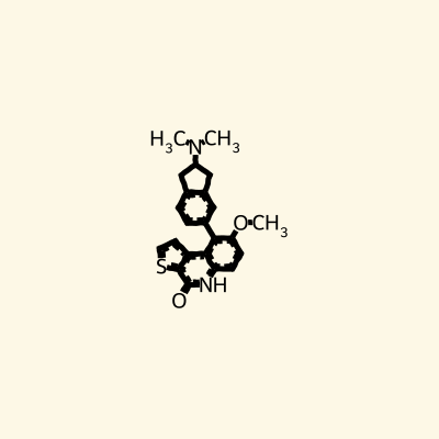 COc1ccc2[nH]c(=O)c3sccc3c2c1-c1ccc2c(c1)CC(N(C)C)C2